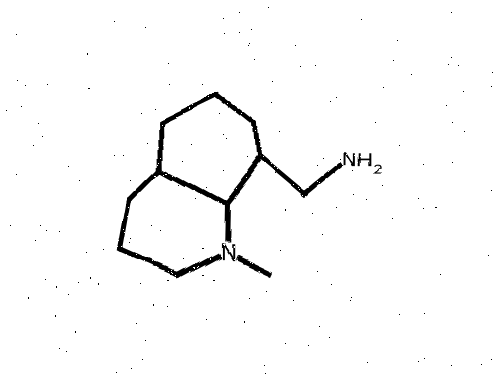 CN1CCCC2CCCC(CN)C21